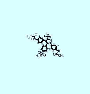 CC(=O)Nc1ccc(-c2c(C(F)(F)F)nn(-c3ccc(NC(C)=O)cc3)c2-c2ccc(S(C)(=O)=O)cc2)cc1